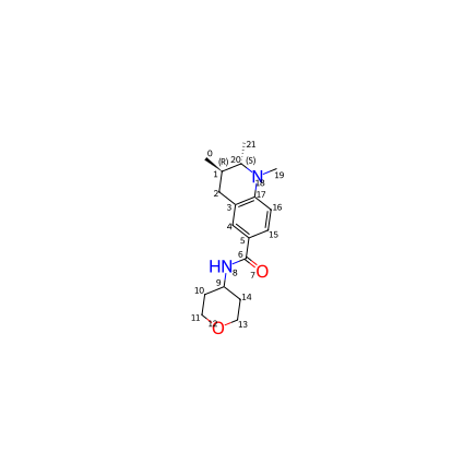 C[C@@H]1Cc2cc(C(=O)NC3CCOCC3)ccc2N(C)[C@H]1C